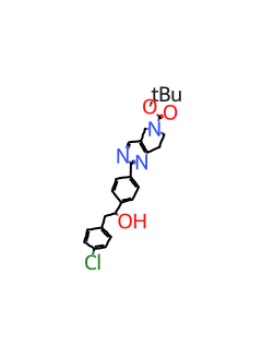 CC(C)(C)OC(=O)N1CCc2nc(-c3ccc(C(O)Cc4ccc(Cl)cc4)cc3)ncc2C1